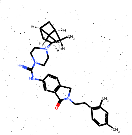 Cc1ccc(CCN2Cc3ccc(NC(=N)N4CCN([C@H]5C[C@H]6C[C@@H]([C@@H]5C)C6(C)C)CC4)cc3C2=O)c(C)c1